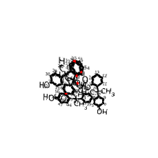 CC(C)(c1ccc(O)cc1)c1ccccc1OC(Oc1ccccc1C(C)(C)c1ccc(O)cc1)(Oc1ccccc1C(C)(C)c1ccc(O)cc1)Oc1ccccc1C(C)(C)c1ccc(O)cc1